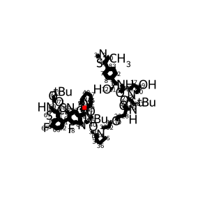 Cc1ncsc1-c1ccc([C@H](CO)NC(=O)[C@@H]2C[C@@H](O)CN2C(=O)[C@@H](NC(=O)CCOCCCN2CCC[C@H]2COc2nc(N3CC4CCC(C3)N4C(=O)OC(C)(C)C)c3cc(Cl)c(-c4ccc(F)c5sc(NC(=O)OC(C)(C)C)c(C#N)c45)c(F)c3n2)C(C)(C)C)cc1